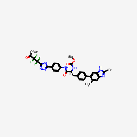 COC(=O)C(F)(F)C(F)(F)c1nnc(-c2ccc(NC(=O)[C@H](Cc3ccc(-c4cc5[nH]c(C(C)C)nc5cc4C)cc3)NC(=O)OC(C)(C)C)cc2)[nH]1